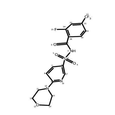 O=C(NS(=O)(=O)c1ccc(N2CCOCC2)nc1)c1ccc(C(F)(F)F)cc1F